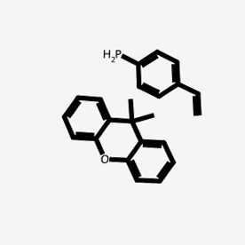 C=Cc1ccc(P)cc1.CC1(C)c2ccccc2Oc2ccccc21